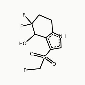 O=S(=O)(CF)c1c[nH]c2c1C(O)C(F)(F)CC2